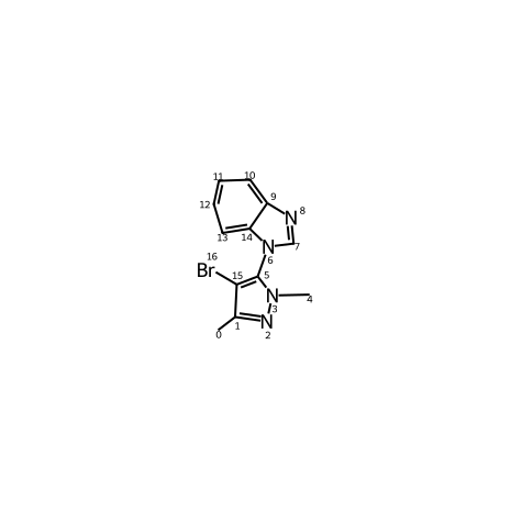 Cc1nn(C)c(-n2cnc3ccccc32)c1Br